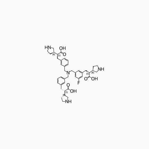 O=C(O)[C@@H](Cc1cccc(CN(Cc2cccc(C[C@H](C(=O)O)[C@H]3CCNC3)c2)Cc2cc(F)cc(C[C@H](C(=O)O)[C@H]3CCNC3)c2)c1)[C@H]1CCNC1